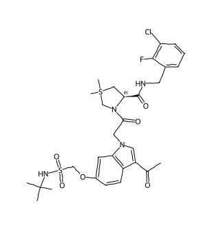 CC(=O)c1cn(CC(=O)N2CS(C)(C)C[C@H]2C(=O)NCc2cccc(Cl)c2F)c2cc(OCS(=O)(=O)NC(C)(C)C)ccc12